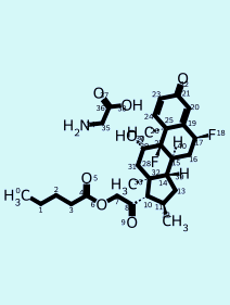 CCCCC(=O)OCC(=O)[C@H]1[C@H](C)C[C@H]2[C@@H]3C[C@H](F)C4=CC(=O)C=C[C@]4(C)[C@@]3(F)[C@@H](O)C[C@@]21C.NCC(=O)O